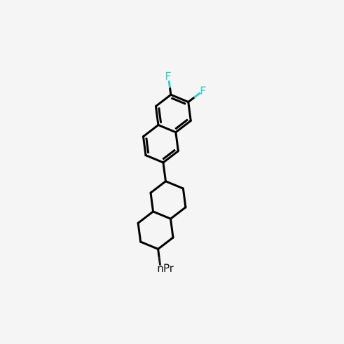 CCCC1CCC2CC(c3ccc4cc(F)c(F)cc4c3)CCC2C1